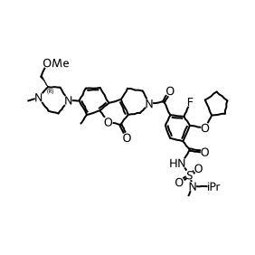 COC[C@H]1CN(c2ccc3c4c(c(=O)oc3c2C)CN(C(=O)c2ccc(C(=O)NS(=O)(=O)N(C)C(C)C)c(OC3CCCC3)c2F)CC4)CCN1C